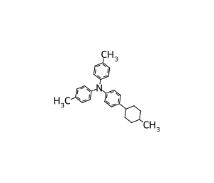 Cc1ccc(N(c2ccc(C)cc2)c2ccc(C3CCC(C)CC3)cc2)cc1